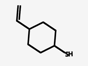 C=CC1CCC(S)CC1